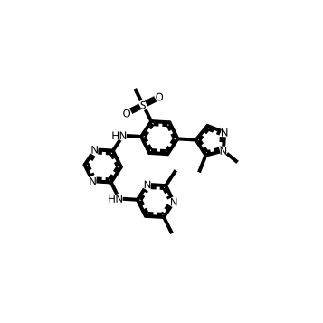 Cc1cc(Nc2cc(Nc3ccc(-c4cnn(C)c4C)cc3S(C)(=O)=O)ncn2)nc(C)n1